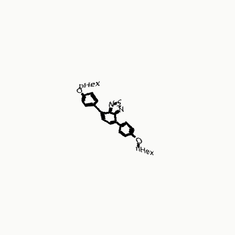 CCCCCCOc1ccc(-c2ccc(-c3ccc(OCCCCCC)cc3)c3nsnc23)cc1